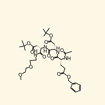 COCCOCCNC(=O)[C@H](CC(=O)OC(C)(C)C)NC(=O)[C@H](CC(=O)OC(C)(C)C)NC(=O)[C@@H](CCC(=O)OCc1ccccc1)NC(C)=O